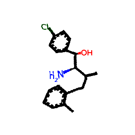 Cc1ccccc1CC(C)[C@@H](N)[C@H](O)c1ccc(Cl)cc1